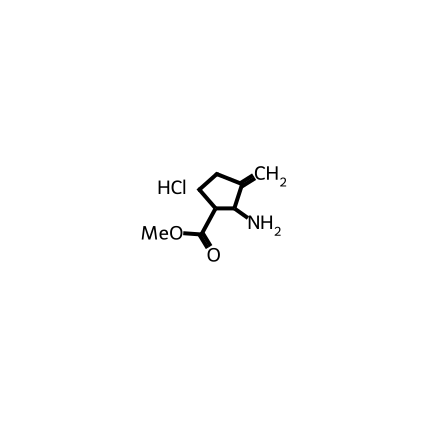 C=C1CCC(C(=O)OC)C1N.Cl